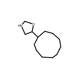 C1CCCCC(C2CNCO2)CCCC1